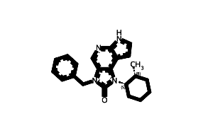 C[C@@H]1CCCC[C@@H]1n1c(=O)n(Cc2ccccc2)c2cnc3[nH]ccc3c21